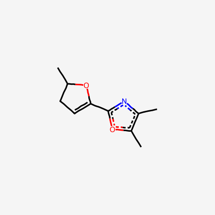 Cc1nc(C2=CCC(C)O2)oc1C